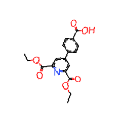 CCOC(=O)c1cc(-c2ccc(C(=O)O)cc2)cc(C(=O)OCC)n1